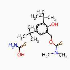 CN(C)C(=S)OCc1cc(C(C)(C)C)cc(C(C)(C)C)c1O.NC(O)=S